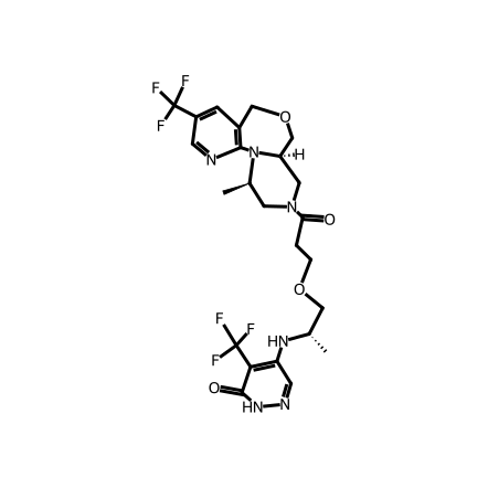 C[C@@H]1CN(C(=O)CCOC[C@H](C)Nc2cn[nH]c(=O)c2C(F)(F)F)C[C@@H]2COCc3cc(C(F)(F)F)cnc3N21